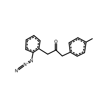 Cc1ccc(CC(=O)Cc2ccccc2N=[N+]=[N-])cc1